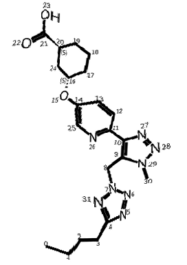 CCCCc1nnn(Cc2c(-c3ccc(O[C@H]4CCC[C@H](C(=O)O)C4)cn3)nnn2C)n1